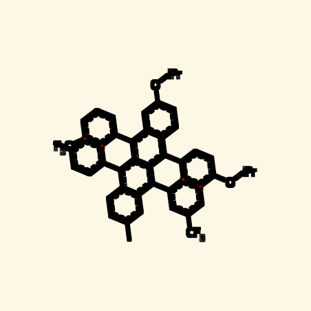 Cc1ccc(-c2c3ccc(C)cc3c(-c3cccc(C(F)(F)F)c3)c3c(-c4ccc(OC(C)C)cc4)c4ccc(OC(C)C)cc4c(-c4cccc(C(F)(F)F)c4)c23)cc1